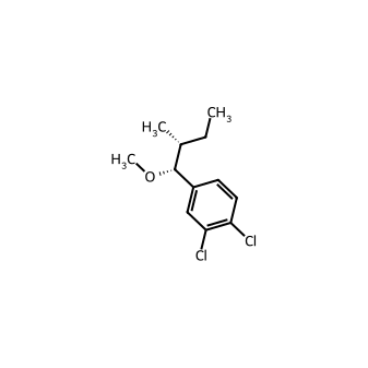 CC[C@@H](C)[C@@H](OC)c1ccc(Cl)c(Cl)c1